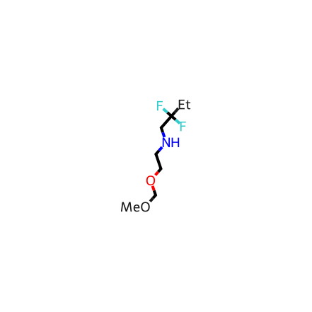 CCC(F)(F)CNCCOCOC